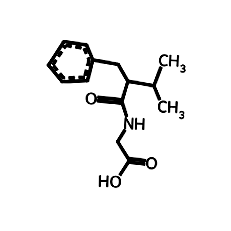 CC(C)C(Cc1ccccc1)C(=O)NCC(=O)O